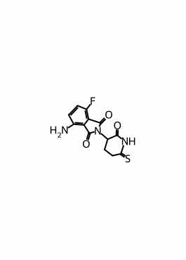 Nc1ccc(F)c2c1C(=O)N(C1CCC(=S)NC1=O)C2=O